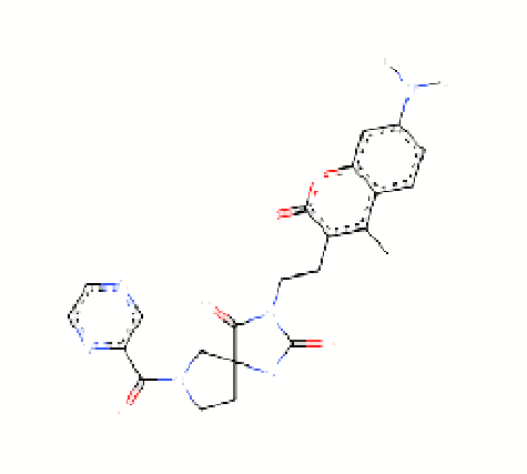 CCN(CC)c1ccc2c(C)c(CCN3C(=O)NC4(CCN(C(=O)c5cnccn5)C4)C3=O)c(=O)oc2c1